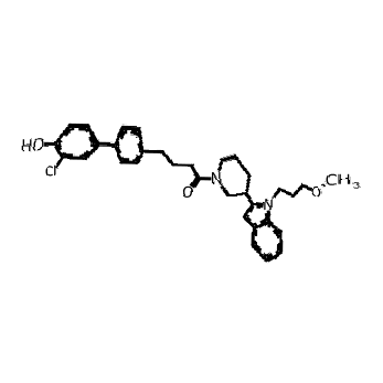 COCCCn1c(C2CCCN(C(=O)CCCc3ccc(-c4ccc(O)c(Cl)c4)cc3)C2)cc2ccccc21